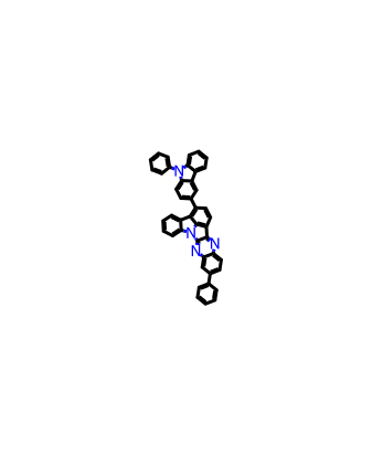 c1ccc(-c2ccc3nc4c5ccc(-c6ccc7c(c6)c6ccccc6n7-c6ccccc6)c6c7ccccc7n(c4nc3c2)c56)cc1